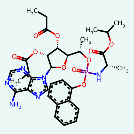 CCC(=O)O[C@H]1[C@@H](OC(=O)CC)[C@H](n2cnc3c(N)ncnc32)O[C@@H]1[C@H](C)OP(=O)(N[C@@H](C)C(=O)OC(C)C)Oc1cccc2ccccc12